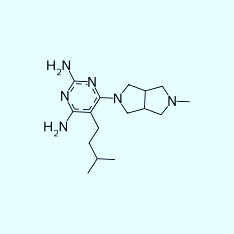 CC(C)CCc1c(N)nc(N)nc1N1CC2CN(C)CC2C1